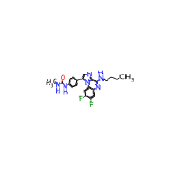 CCCCNc1nc2cc(F)c(F)cc2n2c(-c3ccc(NC(=O)NC)cc3)cnc12